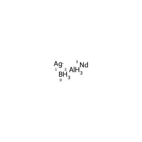 B.[Ag].[AlH3].[Nd]